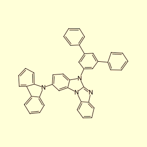 c1ccc(-c2cc(-c3ccccc3)cc(-n3c4ccc(-n5c6ccccc6c6ccccc65)cc4n4c5ccccc5nc34)c2)cc1